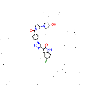 O=C(c1ccc(-n2cc(-c3cc4cc(F)ccc4[nH]c3=O)nn2)cc1)N1CCC(N2CCC(O)CC2)C1